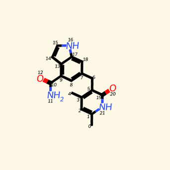 Cc1cc(C)c(Cc2cc(C(N)=O)c3cc[nH]c3c2)c(=O)[nH]1